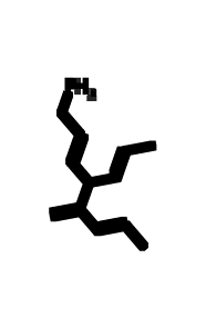 C=C(C=CC)C(C=CC)C=CCP